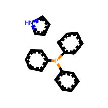 c1cc[nH]c1.c1ccc(P(c2ccccc2)c2ccccc2)cc1